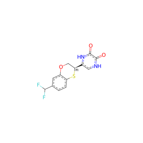 O=c1[nH]cc([C@@H]2COc3cc(C(F)F)ccc3S2)[nH]c1=O